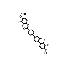 CCCCOc1ccc(OC(=O)C2CC=C(c3ccc(-c4ccc(OCC)c(F)c4F)c(F)c3)CC2)c(F)c1F